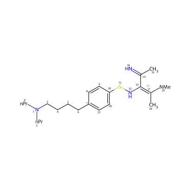 CCCN(CCC)CCCCc1ccc(SN/C(C(C)=N)=C(\C)NC)cc1